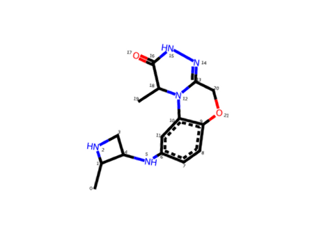 CC1NCC1Nc1ccc2c(c1)N1C(=NNC(=O)C1C)CO2